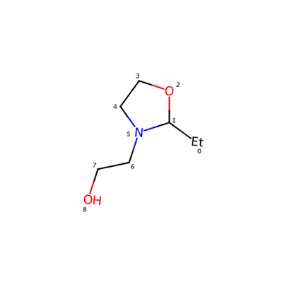 CCC1OCCN1CCO